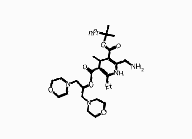 CCCC(C)(C)OC(=O)C1=C(CN)NC(CC)=C(C(=O)OC(CN2CCOCC2)CN2CCOCC2)C1C